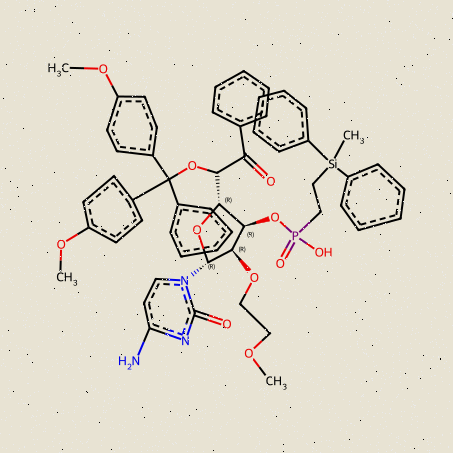 COCCO[C@@H]1[C@H](OP(=O)(O)CC[Si](C)(c2ccccc2)c2ccccc2)[C@@H](C(OC(c2ccccc2)(c2ccc(OC)cc2)c2ccc(OC)cc2)C(=O)c2ccccc2)O[C@H]1n1ccc(N)nc1=O